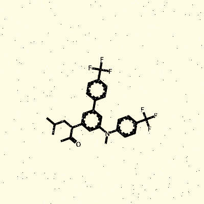 CC(=O)C(CC(C)C)c1cc(-c2ccc(C(F)(F)F)cc2)cc(N(C)c2ccc(C(F)(F)F)cc2)c1